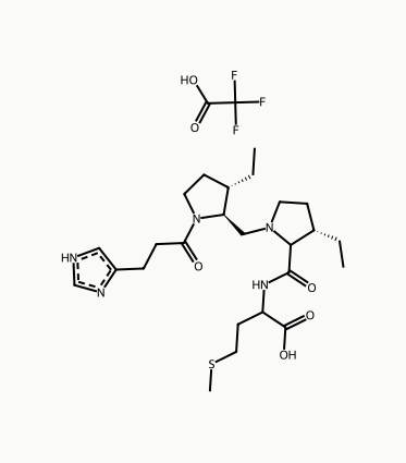 CC[C@H]1CCN(C[C@@H]2[C@@H](CC)CCN2C(=O)CCc2c[nH]cn2)C1C(=O)NC(CCSC)C(=O)O.O=C(O)C(F)(F)F